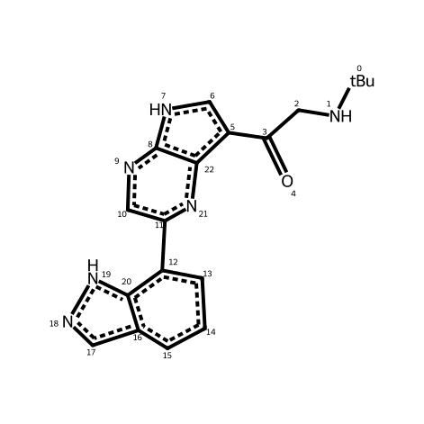 CC(C)(C)NCC(=O)c1c[nH]c2ncc(-c3cccc4cn[nH]c34)nc12